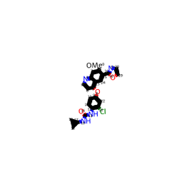 COc1cc2nccc(Oc3ccc(NC(=O)NC4CC4)c(Cl)c3)c2cc1-c1ncco1